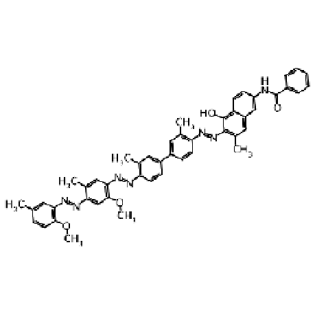 COc1ccc(C)cc1N=Nc1cc(OC)c(N=Nc2ccc(-c3ccc(N=Nc4c(C)cc5cc(NC(=O)c6ccccc6)ccc5c4O)c(C)c3)cc2C)cc1C